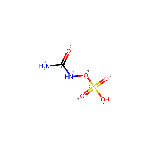 NC(=O)NOS(=O)(=O)O